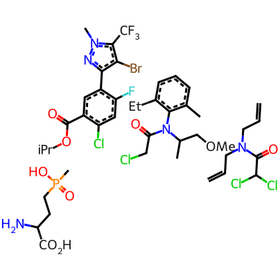 C=CCN(CC=C)C(=O)C(Cl)Cl.CC(C)OC(=O)c1cc(-c2nn(C)c(C(F)(F)F)c2Br)c(F)cc1Cl.CCc1cccc(C)c1N(C(=O)CCl)C(C)COC.CP(=O)(O)CCC(N)C(=O)O